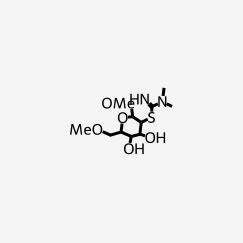 COCC1OC(OC)C(SC(=N)N(C)C)C(O)C1O